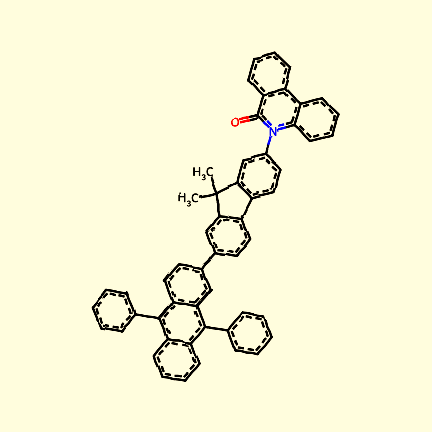 CC1(C)c2cc(-c3ccc4c(-c5ccccc5)c5ccccc5c(-c5ccccc5)c4c3)ccc2-c2ccc(-n3c(=O)c4ccccc4c4ccccc43)cc21